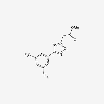 COC(=O)Cc1nc(-c2cc(C(F)(F)F)cc(C(F)(F)F)c2)no1